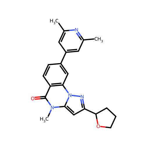 Cc1cc(-c2ccc3c(=O)n(C)c4cc(C5CCCO5)nn4c3c2)cc(C)n1